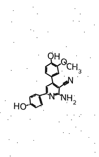 COc1cc(-c2cc(-c3ccc(O)cc3)nc(N)c2C#N)ccc1O